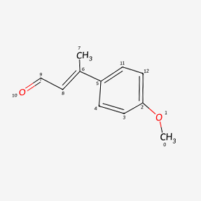 COc1ccc(C(C)=C[C]=O)cc1